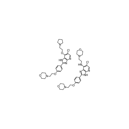 Clc1cnc2[nH]c(-c3ccc(OCCN4CCOCC4)cc3)nc2c1NCCN1CCOCC1.Clc1cnc2nc(-c3ccc(OCCN4CCOCC4)cc3)[nH]c2c1OCCN1CCCC1